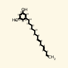 C=CC/C=C/C/C=C/CCCCCCCc1cc(O)cc(O)c1